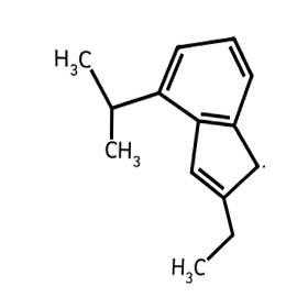 CCC1=Cc2c(cccc2C(C)C)[CH]1